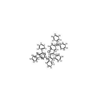 c1ccc(-c2nc(-n3c4ccccc4c4c5ccccc5c5c6cc(N(c7ccccc7)c7ccccc7)ccc6oc5c43)nc3c2sc2ccccc23)cc1